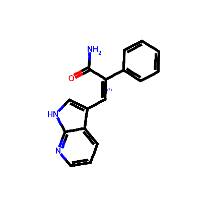 NC(=O)/C(=C\c1c[nH]c2ncccc12)c1ccccc1